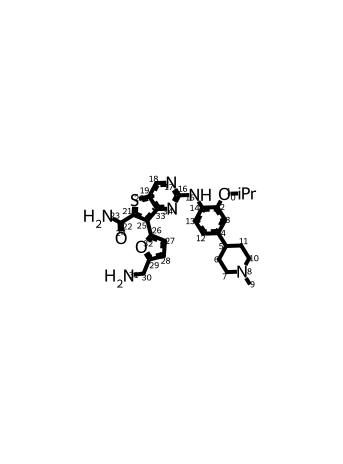 CC(C)Oc1cc(C2CCN(C)CC2)ccc1Nc1ncc2sc(C(N)=O)c(-c3ccc(CN)o3)c2n1